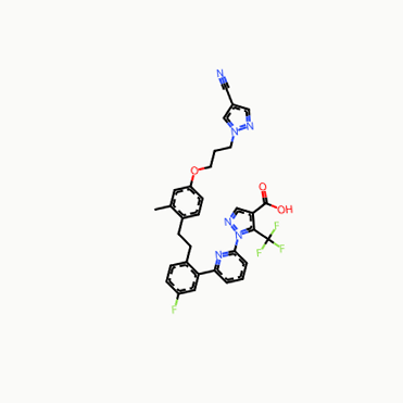 Cc1cc(OCCCn2cc(C#N)cn2)ccc1CCc1ccc(F)cc1-c1cccc(-n2ncc(C(=O)O)c2C(F)(F)F)n1